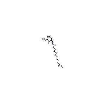 CCCCCCCCCCCC/C=C/C(CO)NCCO